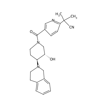 CC(C)(C#N)c1ccc(C(=O)N2CC[C@H](N3CCc4ccccc4C3)[C@@H](O)C2)cn1